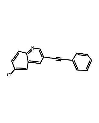 Clc1ccc2ncc(C#Cc3ccccc3)cc2c1